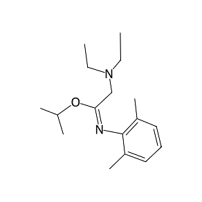 CCN(CC)C/C(=N\c1c(C)cccc1C)OC(C)C